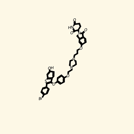 O=C1CCC(N2Cc3cc(OCCCN4CCN(CCOc5ccc(Oc6c(-c7ccc(Br)cc7)sc7cc(O)ccc67)cc5)CC4)ccc3C2=O)C(=O)N1